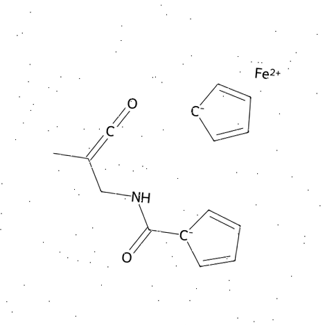 CC(=C=O)CNC(=O)[c-]1cccc1.[Fe+2].c1cc[cH-]c1